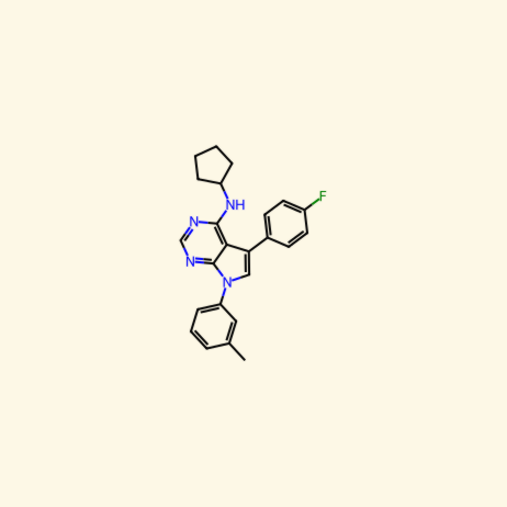 Cc1cccc(-n2cc(-c3ccc(F)cc3)c3c(NC4CCCC4)ncnc32)c1